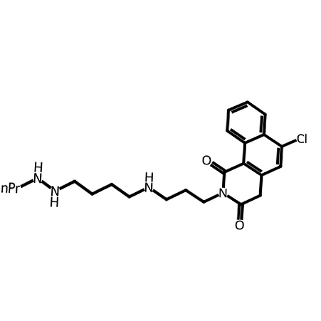 CCCNNCCCCNCCCN1C(=O)Cc2cc(Cl)c3ccccc3c2C1=O